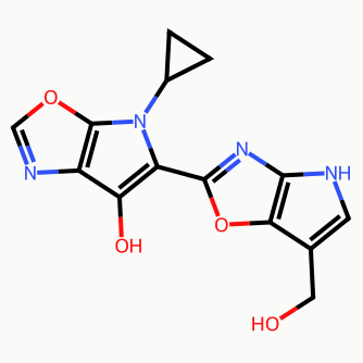 OCc1c[nH]c2nc(-c3c(O)c4ncoc4n3C3CC3)oc12